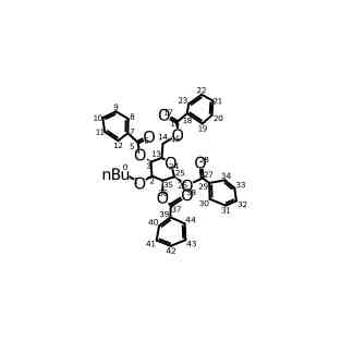 CCCCOC1[C@H](OC(=O)c2ccccc2)C(COC(=O)c2ccccc2)O[C@@H](OC(=O)c2ccccc2)[C@H]1OC(=O)c1ccccc1